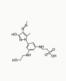 CN=Nc1c(O)nn(-c2cc(NCCO)cc(NCCS(=O)(=O)O)c2)c1C